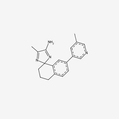 CC1=NC2(CCCc3ccc(-c4cncc(C)c4)cc32)N=C1N